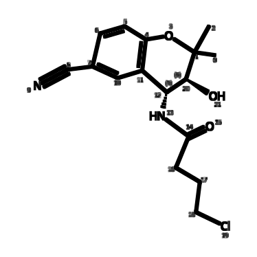 CC1(C)Oc2ccc(C#N)cc2[C@@H](NC(=O)CCCCl)[C@@H]1O